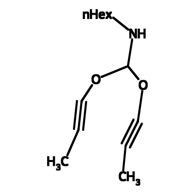 CC#COC(NCCCCCC)OC#CC